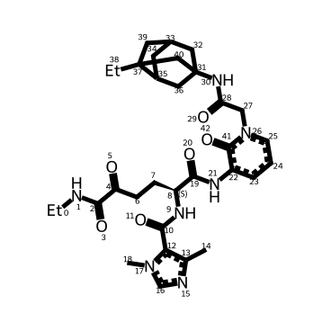 CCNC(=O)C(=O)CC[C@H](NC(=O)c1c(C)ncn1C)C(=O)Nc1cccn(CC(=O)NC23CC4CC(C2)C(CC)(C4)C3)c1=O